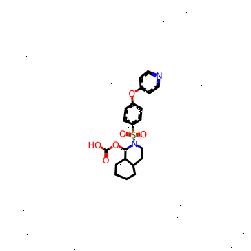 O=C(O)OC1C2CCCCC2CCN1S(=O)(=O)c1ccc(Oc2ccncc2)cc1